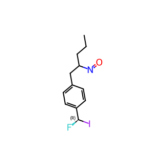 CCCC(Cc1ccc([C@H](F)I)cc1)N=O